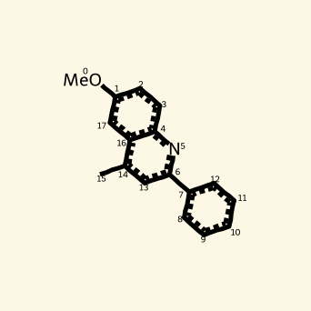 COc1ccc2nc(-c3ccccc3)cc(C)c2c1